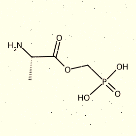 C[C@H](N)C(=O)OCP(=O)(O)O